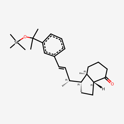 C[C@H](C=Cc1cccc(C(C)(C)O[Si](C)(C)C)c1)[C@H]1CC[C@H]2C(=O)CCC[C@]12C